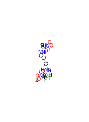 COC(=O)N[C@H](C(=O)N1C[Si](C)(C)C[C@H]1c1nc2ccc3cc(-c4ccc(-c5cnc([C@@H]6[C@@H]7C[C@@H]([C@@H](F)[C@H]7F)N6C(=O)[C@@H](NC(=O)OC6(C)CC6)C(C)C)[nH]5)cc4)ccc3c2[nH]1)C(C)C